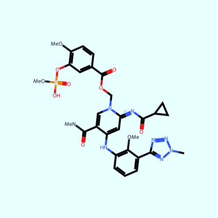 CNC(=O)c1cn(COC(=O)c2ccc(OC)c(OP(=O)(O)OC)c2)/c(=N/C(=O)C2CC2)cc1Nc1cccc(-c2nnn(C)n2)c1OC